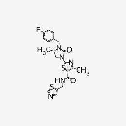 Cc1nc(N2C[C@@H](C)N(Cc3ccc(F)cc3)C2=O)sc1C(=O)NCc1cncs1